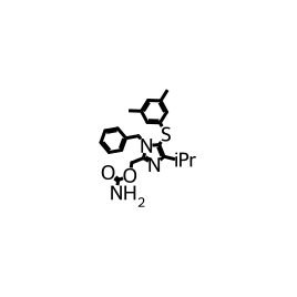 Cc1cc(C)cc(Sc2c(C(C)C)nc(COC(N)=O)n2Cc2ccccc2)c1